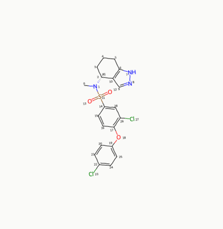 CN([C@@H]1CCCc2[nH]ncc21)S(=O)(=O)c1ccc(Oc2ccc(Cl)cc2)c(Cl)c1